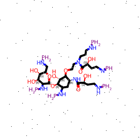 O=C(N[C@@H]1CC(NP)[C@@H](O[C@H]2OC(CNP)[C@@H](O)[C@H](O)C2NP)[C@H](O)C1OCCN(CCCNP)C(=O)[C@@H](O)CCN=P)[C@@H](O)CCNP